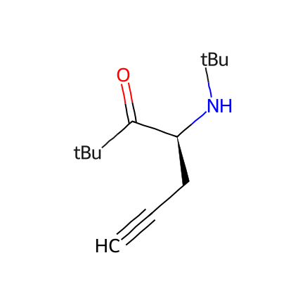 C#CC[C@H](NC(C)(C)C)C(=O)C(C)(C)C